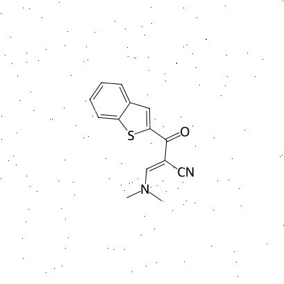 CN(C)C=C(C#N)C(=O)c1cc2ccccc2s1